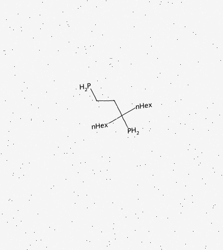 CCCCCCC(P)(CCP)CCCCCC